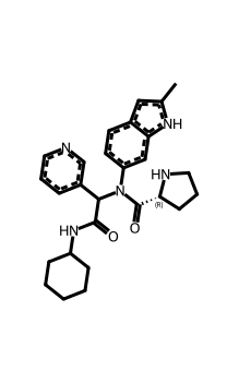 Cc1cc2ccc(N(C(=O)[C@H]3CCCN3)C(C(=O)NC3CCCCC3)c3cccnc3)cc2[nH]1